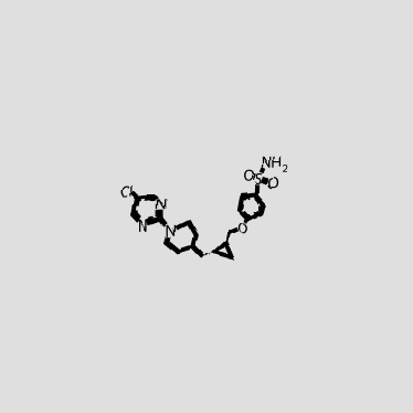 NS(=O)(=O)c1ccc(OC[C@H]2C[C@@H]2CC2CCN(c3ncc(Cl)cn3)CC2)cc1